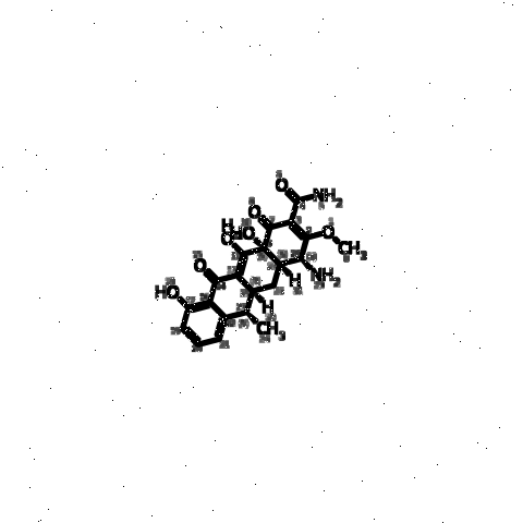 COC1=C(C(N)=O)C(=O)[C@@]2(O)C(O)=C3C(=O)c4c(O)cccc4[C@H](C)[C@H]3C[C@H]2[C@@H]1N